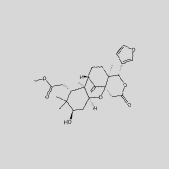 C=C1[C@H]2CC[C@@]3(C)[C@H](c4ccoc4)OC(=O)C[C@]13O[C@H]1C[C@@H](O)C(C)(C)[C@H](CC(=O)OC)[C@]12C